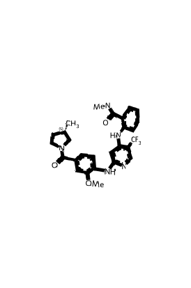 CNC(=O)c1ccccc1Nc1cc(Nc2ccc(C(=O)N3CC[C@H](C)C3)cc2OC)ncc1C(F)(F)F